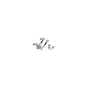 N.N.O=C(O)O.O=C([O-])O.[K+]